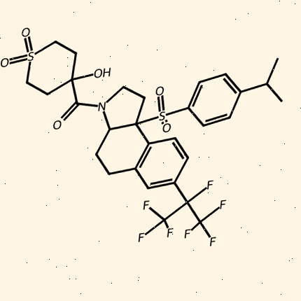 CC(C)c1ccc(S(=O)(=O)C23CCN(C(=O)C4(O)CCS(=O)(=O)CC4)C2CCc2cc(C(F)(C(F)(F)F)C(F)(F)F)ccc23)cc1